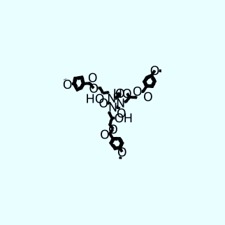 COc1ccc(C(=O)OCC(O)Cn2c(=O)n(CC(O)COC(=O)c3ccc(OC)cc3)c(=O)n(CC(O)COC(=O)c3ccc(OC)cc3)c2=O)cc1